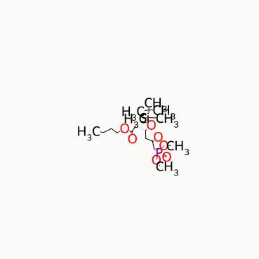 CCCCOC(=O)C[C@@H](CC(=O)CP(=O)(OC)OC)O[Si](C)(C)C(C)(C)C